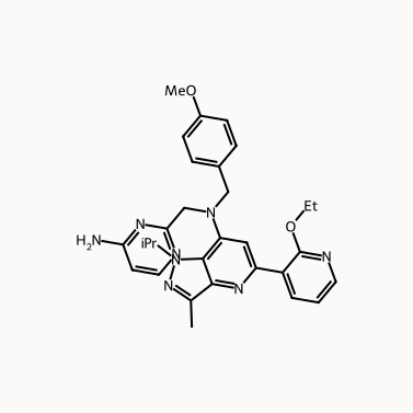 CCOc1ncccc1-c1cc(N(Cc2ccc(OC)cc2)Cc2nccc(N)n2)c2c(n1)c(C)nn2C(C)C